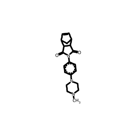 CN1CCN(c2ccc(N3C(=O)C4C5C=CC(C5)C4C3=O)cc2)CC1